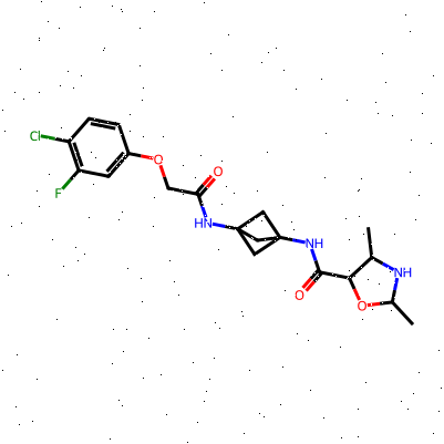 CC1NC(C)C(C(=O)NC23CC(NC(=O)COc4ccc(Cl)c(F)c4)(C2)C3)O1